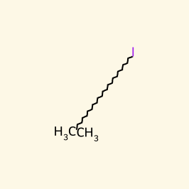 CC(C)CCCCCCCCCCCCCCCCCCCCCCI